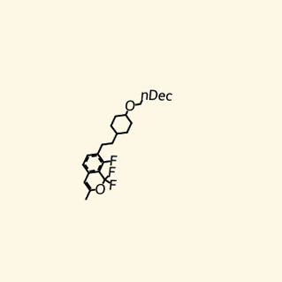 CCCCCCCCCCCOC1CCC(CCc2ccc3c(c2F)C(F)(F)OC(C)=C3)CC1